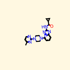 Cc1ccnc(N2CCN(c3cccc4nc(NC(=O)C5CC5)nn34)CC2)n1